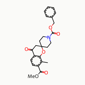 COC(=O)c1ccc2c(c1C)OC1(CCN(C(=O)OCc3ccccc3)CC1)CC2=O